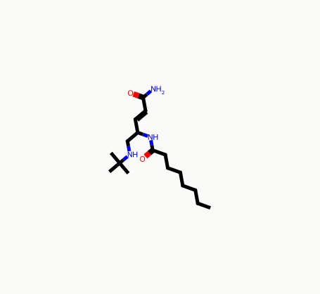 CCCCCCCC(=O)NC(/C=C/C(N)=O)CNC(C)(C)C